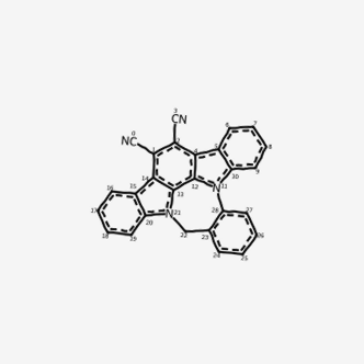 N#Cc1c(C#N)c2c3ccccc3n3c2c2c1c1ccccc1n2Cc1ccccc1-3